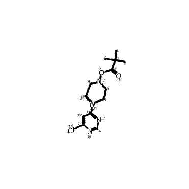 CC(C)(C)C(=O)ON1CCN(c2cc(Cl)ncn2)CC1